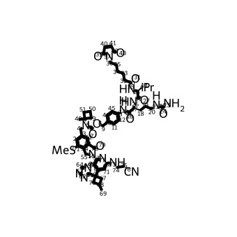 CSc1cc(CN(C(=O)OCc2ccc(NC(=O)[C@H](CCCNC(N)=O)NC(=O)[C@@H](NC(=O)CCCCCN3C(=O)C=CC3=O)C(C)C)cc2)C2(C)CCC2)cc2c1CN(c1cc(C3(c4nncn4C)CC(C)C3)cc(NCCC#N)n1)C2=O